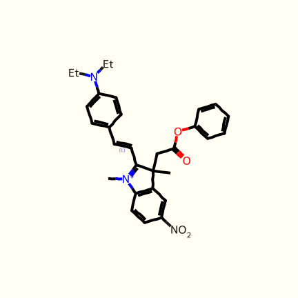 CCN(CC)c1ccc(/C=C/C2=[N+](C)c3ccc([N+](=O)[O-])cc3C2(C)CC(=O)Oc2ccccc2)cc1